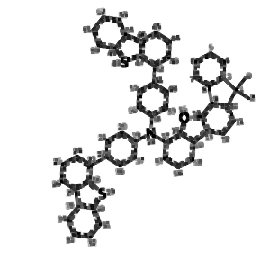 CC1(C)c2ccccc2-c2c1ccc1c2oc2c(N(c3ccc(-c4cccc5c4sc4ccccc45)cc3)c3ccc(-c4cccc5c4sc4ccccc45)cc3)cccc21